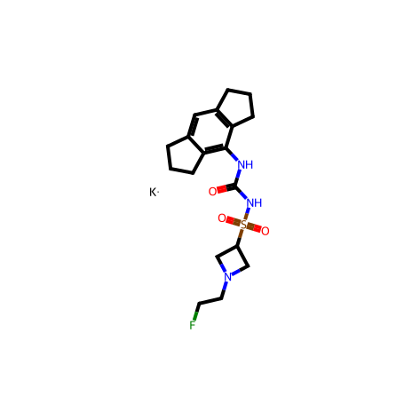 O=C(Nc1c2c(cc3c1CCC3)CCC2)NS(=O)(=O)C1CN(CCF)C1.[K]